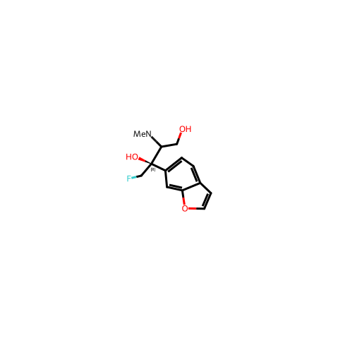 CNC(CO)[C@@](O)(CF)c1ccc2ccoc2c1